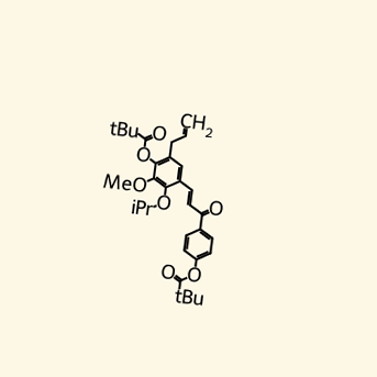 C=CCc1cc(C=CC(=O)c2ccc(OC(=O)C(C)(C)C)cc2)c(OC(C)C)c(OC)c1OC(=O)C(C)(C)C